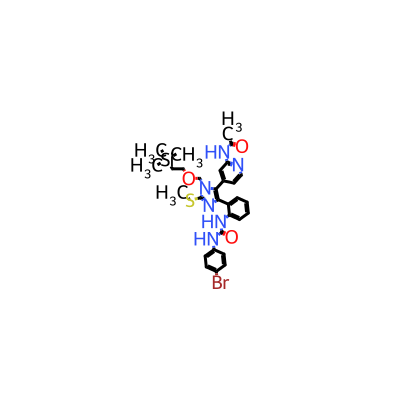 CSc1nc(-c2ccccc2NC(=O)Nc2ccc(Br)cc2)c(-c2ccnc(NC(C)=O)c2)n1COCC[Si](C)(C)C